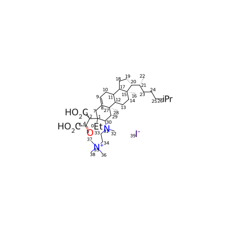 CCC1([C@H](C(=O)O)C(=O)C(=O)O)CC2=CCC3C(CC[C@@]4(C)C3CC[C@@H]4[C@H](C)CCCC(C)C)[C@@]2(C)CC1N(C)CC[N+](C)(C)C.[I-]